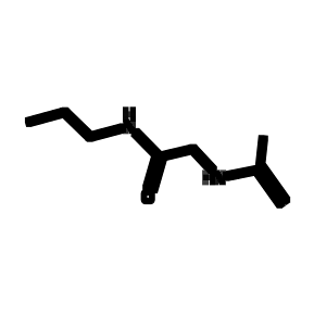 C=C(C)NCC(=O)NCCC